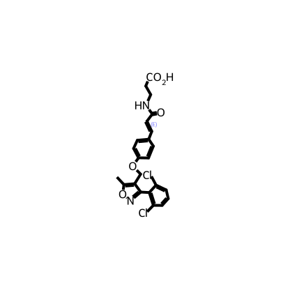 Cc1onc(-c2c(Cl)cccc2Cl)c1COc1ccc(/C=C/C(=O)NCCC(=O)O)cc1